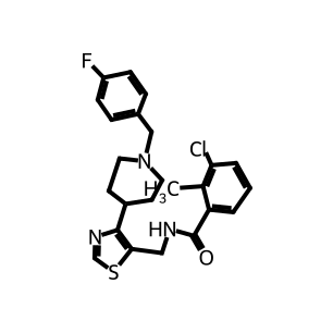 Cc1c(Cl)cccc1C(=O)NCc1scnc1C1CCN(Cc2ccc(F)cc2)CC1